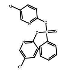 S=P(Oc1ccc(Cl)cn1)(Oc1ccc(Cl)cn1)c1ccccc1